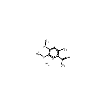 COc1cc(N)c(C(=N)N)cc1OC.Cl